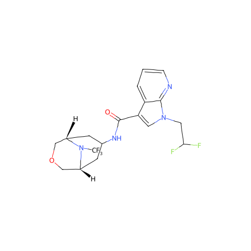 O=C(NC1C[C@H]2COC[C@@H](C1)N2C(F)(F)F)c1cn(CC(F)F)c2ncccc12